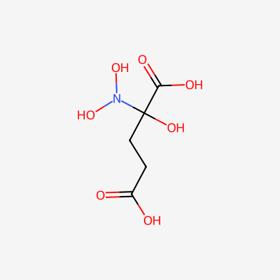 O=C(O)CCC(O)(C(=O)O)N(O)O